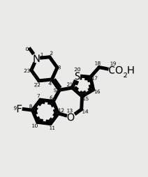 CN1CCC(=C2c3cc(F)ccc3OCc3cc(CC(=O)O)sc32)CC1